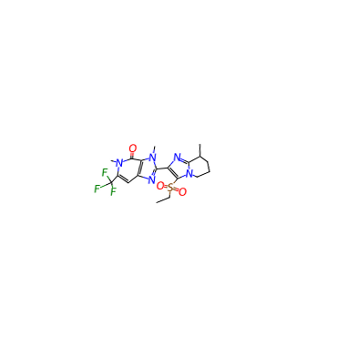 CCS(=O)(=O)c1c(-c2nc3cc(C(F)(F)F)n(C)c(=O)c3n2C)nc2n1CCCC2C